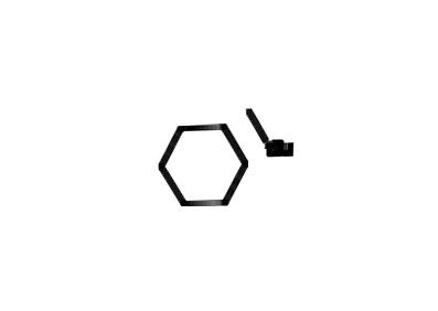 C1CCCCC1.CC(C)(C)C